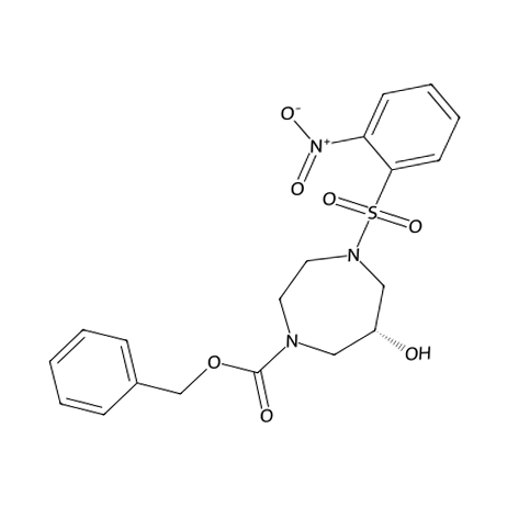 O=C(OCc1ccccc1)N1CCN(S(=O)(=O)c2ccccc2[N+](=O)[O-])C[C@H](O)C1